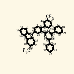 FC(F)(F)c1cccc(-c2ccc(-n3c4ccccc4c4cc(C(F)(F)F)ccc43)cc2-c2nc(-c3ccccc3)nc(-c3ccccc3)n2)c1